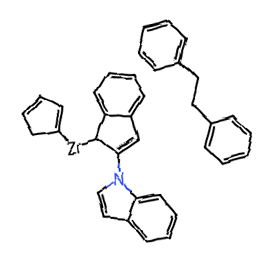 C1=CC[C]([Zr][CH]2C(n3ccc4ccccc43)=Cc3ccccc32)=C1.c1ccc(CCc2ccccc2)cc1